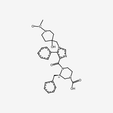 C[S+]([O-])N1CCC(O)(Cn2cnc(C(=O)N3CCN(C(=O)O)C[C@H]3Cc3ccccc3)c2-c2ccccc2)CC1